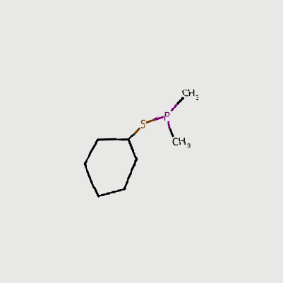 CP(C)SC1CCCCC1